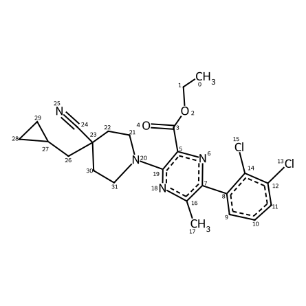 CCOC(=O)c1nc(-c2cccc(Cl)c2Cl)c(C)nc1N1CCC(C#N)(CC2CC2)CC1